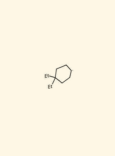 CCC1(CC)CC[CH]CC1